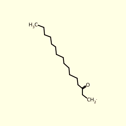 [CH2]CC(=O)CCCCCCCCCCCCC